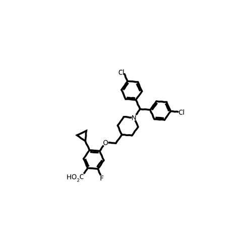 O=C(O)c1cc(C2CC2)c(OCC2CCN(C(c3ccc(Cl)cc3)c3ccc(Cl)cc3)CC2)cc1F